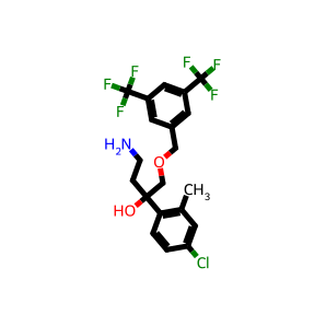 Cc1cc(Cl)ccc1C(O)(CCN)COCc1cc(C(F)(F)F)cc(C(F)(F)F)c1